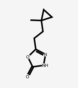 CC1(CCc2n[nH]c(=O)o2)CC1